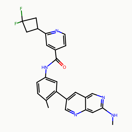 CNc1cc2ncc(-c3cc(NC(=O)c4ccnc(C5CC(F)(F)C5)c4)ccc3C)cc2cn1